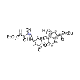 CCOC(=O)NC(=O)/C(C#N)=N\Nc1cc(Cl)c(Oc2ccc3c(c2)c(C)cn3C(=O)OC(C)(C)C)c(Cl)c1